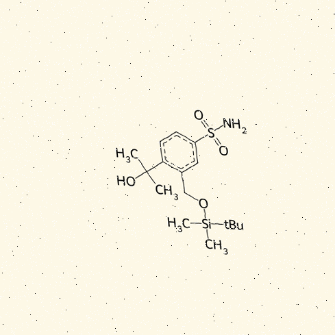 CC(C)(O)c1ccc(S(N)(=O)=O)cc1CO[Si](C)(C)C(C)(C)C